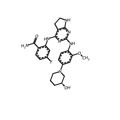 COc1cc(N2CCC[C@H](O)C2)ccc1Nc1nc2c(c(Nc3cc(F)ccc3C(N)=O)n1)CCN2